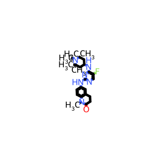 CN1C(=O)CCc2cc(Nc3ncc(F)c(NC4CC(C)(C)N(C)C(C)(C)C4)n3)ccc21